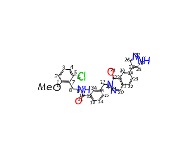 COc1cccc(Cl)c1CNC(=O)c1cccc(Cn2ncc3ccc(-c4cn[nH]c4)cc3c2=O)c1